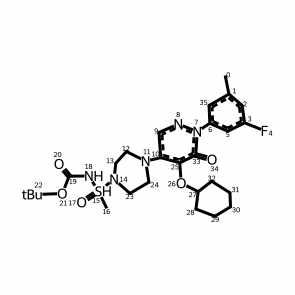 Cc1cc(F)cc(-n2ncc(N3CCN([SH](C)(=O)NC(=O)OC(C)(C)C)CC3)c(OC3CCCCC3)c2=O)c1